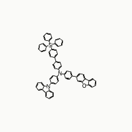 c1ccc([Si](c2ccccc2)(c2ccccc2)c2ccc(-c3ccc(N(c4ccc(-c5ccc6c(c5)oc5ccccc56)cc4)c4ccc(-n5c6ccccc6c6ccccc65)cc4)cc3)cc2)cc1